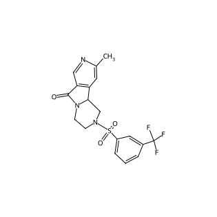 Cc1cc2c(cn1)C(=O)N1CCN(S(=O)(=O)c3cccc(C(F)(F)F)c3)CC21